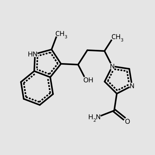 Cc1[nH]c2ccccc2c1C(O)CC(C)n1cnc(C(N)=O)c1